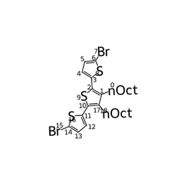 CCCCCCCCc1c(-c2ccc(Br)s2)sc(-c2ccc(Br)s2)c1CCCCCCCC